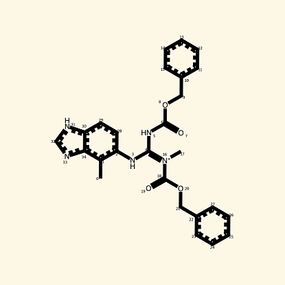 Cc1c(NC(NC(=O)OCc2ccccc2)=[N+](C)C(=O)OCc2ccccc2)ccc2[nH]cnc12